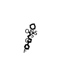 O=C1C(=Cc2ccc(-c3ccc(F)cc3)o2)SC(=S)N1C1CCCCCC1